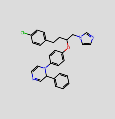 Clc1ccc(CCC(Cn2ccnc2)Oc2ccc(N3C=CN=CC3c3ccccc3)cc2)cc1